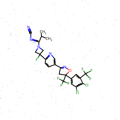 CC(C)/C(=N\C#N)N1CC(F)(c2ccc(C3=NOC(c4cc(Cl)c(Cl)c(C(F)(F)F)c4)(C(F)(F)F)C3)cn2)C1